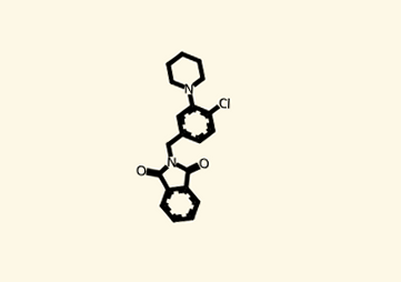 O=C1c2ccccc2C(=O)N1Cc1ccc(Cl)c(N2CCCCC2)c1